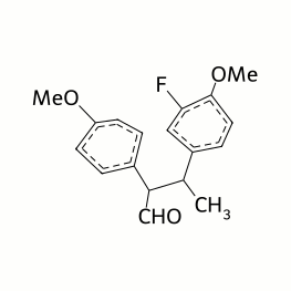 COc1ccc(C(C=O)C(C)c2ccc(OC)c(F)c2)cc1